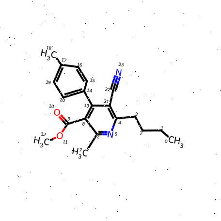 CCCCc1nc(C)c(C(=O)OC)c(-c2ccc(C)cc2)c1C#N